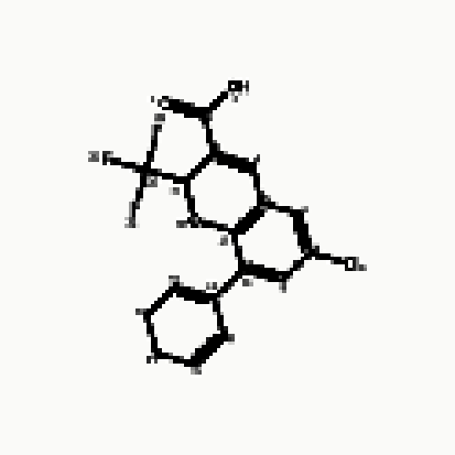 O=C(O)C1=Cc2cc(Cl)cc(C3=CCCC=C3)c2OC1C(F)(F)F